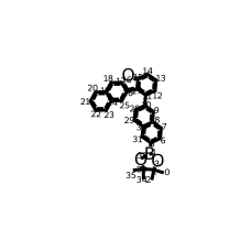 CC1(C)OB(c2ccc3cc(-c4cccc5oc6cc7ccccc7cc6c45)ccc3c2)OC1(C)C